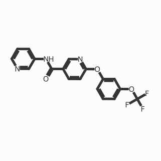 O=C(Nc1cccnc1)c1ccc(Oc2cccc(OC(F)(F)F)c2)nc1